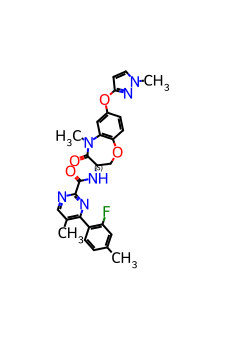 Cc1ccc(-c2nc(C(=O)N[C@H]3COc4ccc(Oc5ccn(C)n5)cc4N(C)C3=O)ncc2C)c(F)c1